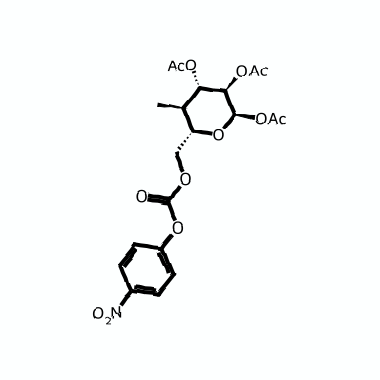 CC(=O)O[C@H]1O[C@H](COC(=O)Oc2ccc([N+](=O)[O-])cc2)[C@@H](C)[C@H](OC(C)=O)[C@H]1OC(C)=O